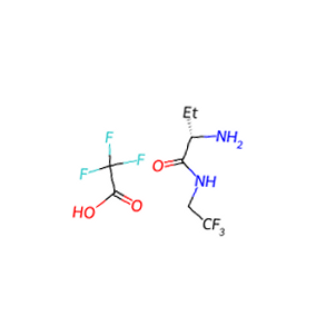 CC[C@H](N)C(=O)NCC(F)(F)F.O=C(O)C(F)(F)F